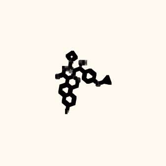 NC(=O)C1c2ccc3cc(F)ccc3c2CON1[C@H](CN1CCC1)[C@H](O)c1ccc(OC2CC2)cc1